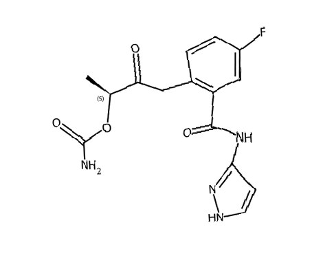 C[C@H](OC(N)=O)C(=O)Cc1ccc(F)cc1C(=O)Nc1cc[nH]n1